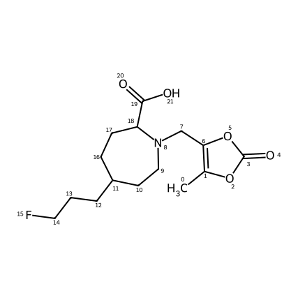 Cc1oc(=O)oc1CN1CCC(CCCF)CCC1C(=O)O